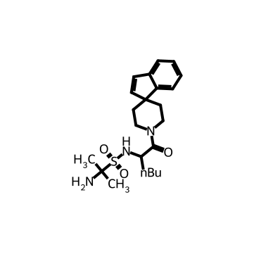 CCCCC(NS(=O)(=O)C(C)(C)N)C(=O)N1CCC2(C=Cc3ccccc32)CC1